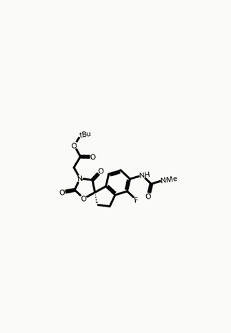 CNC(=O)Nc1ccc2c(c1F)CC[C@@]21OC(=O)N(CC(=O)OC(C)(C)C)C1=O